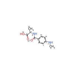 CNc1ccc(C(=O)NC(C)C(=O)O)cc1